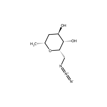 C[C@@H]1C[C@@H](O)[C@H](O)[C@H](CN=[N+]=[N-])O1